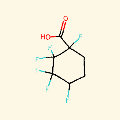 O=C(O)C1(F)CCC(F)C(F)(F)C1(F)F